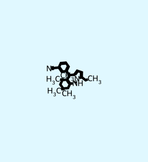 CCc1ccc2n1NC1=C(C2c2cccc(C#N)c2)C(C)(C)CC(C)(C)C1